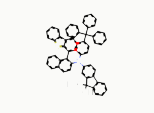 CC1(C)c2ccccc2-c2ccc(N(c3ccc(C(c4ccccc4)(c4ccccc4)c4ccccc4)cc3)c3ccc4ccccc4c3-c3cccc4c3sc3ccccc34)cc21